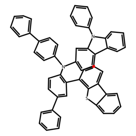 c1ccc(-c2ccc(N(c3ccc4c5ccccc5n(-c5ccccc5)c4c3)c3ccc(-c4ccccc4)cc3-c3cccc4c3sc3ccccc34)cc2)cc1